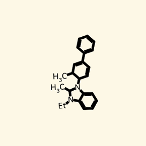 CCN1c2ccccc2N(C2C=CC(c3ccccc3)=CC2C)C1C